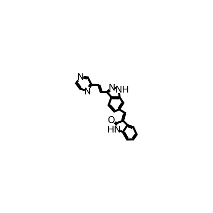 O=C1Nc2ccccc2C1=Cc1ccc2c(C=Cc3cnccn3)n[nH]c2c1